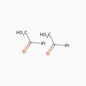 CC(C)C(=O)C(=O)O.CC(C)C(=O)C(=O)O